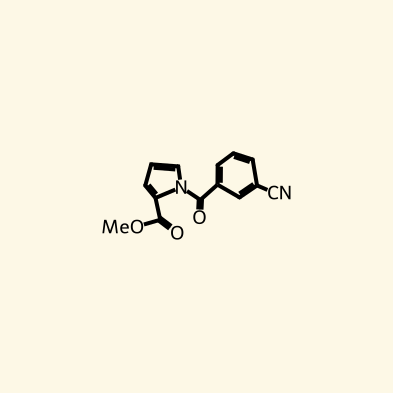 COC(=O)c1cccn1C(=O)c1cccc(C#N)c1